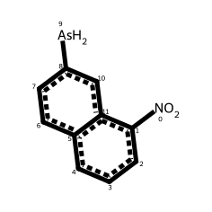 O=[N+]([O-])c1cccc2ccc([AsH2])cc12